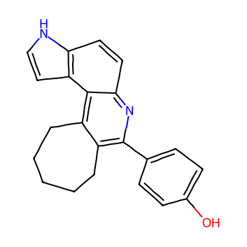 Oc1ccc(-c2nc3ccc4[nH]ccc4c3c3c2CCCCC3)cc1